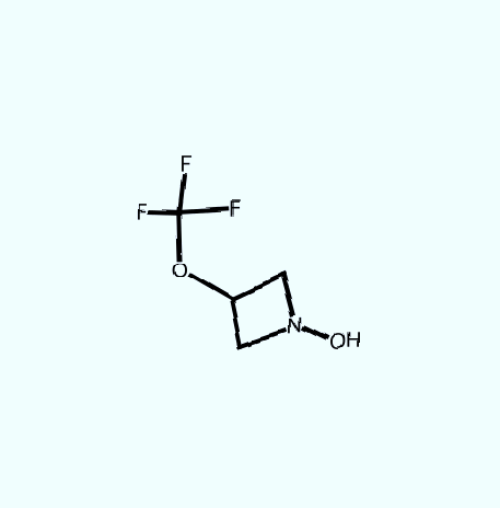 ON1CC(OC(F)(F)F)C1